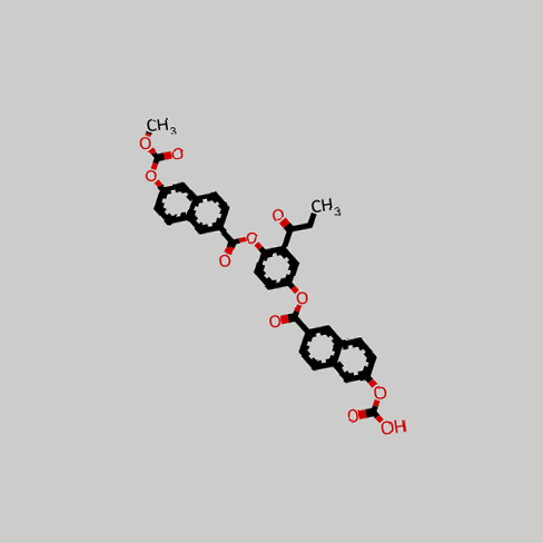 CCC(=O)c1cc(OC(=O)c2ccc3cc(OC(=O)O)ccc3c2)ccc1OC(=O)c1ccc2cc(OC(=O)OC)ccc2c1